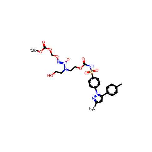 Cc1ccc(-c2cc(C(F)(F)F)nn2-c2ccc(S(=O)(=O)NC(=O)OCCN(CCO)[N+]([O-])=NOCOC(=O)OC(C)(C)C)cc2)cc1